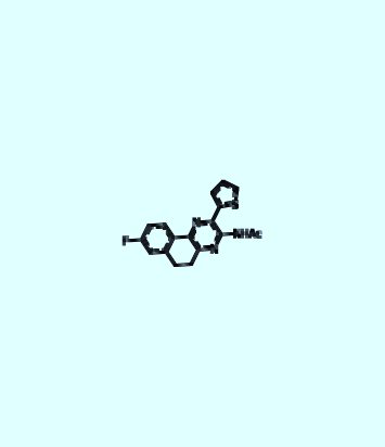 CC(=O)Nc1nc2c(nc1-c1cccs1)-c1ccc(F)cc1CC2